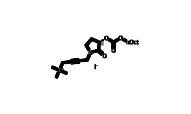 CCCCCCCCOC(=O)O[C@H]1CCN(CC#CC[N+](C)(C)C)C1=O.[I-]